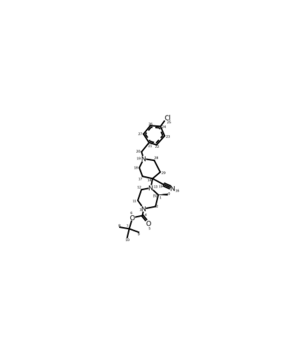 C[C@H]1CN(C(=O)OC(C)(C)C)CCN1C1(C#N)CCN(Cc2ccc(Cl)cc2)CC1